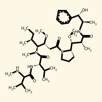 CC[C@H](C)[C@@H]([C@@H](CC(=O)N1CCC[C@H]1[C@H](OC)[C@@H](C)C(=O)N[C@H](C)[C@@H](O)c1ccccc1)OC)N(C)C(=O)[C@@H](NC(=O)C(NC)C(C)C)C(C)C